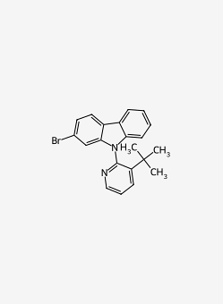 CC(C)(C)c1cccnc1-n1c2ccccc2c2ccc(Br)cc21